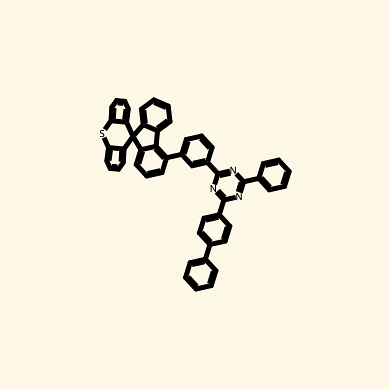 c1ccc(-c2ccc(-c3nc(-c4ccccc4)nc(-c4cccc(-c5cccc6c5-c5ccccc5C65c6ccccc6Sc6ccccc65)c4)n3)cc2)cc1